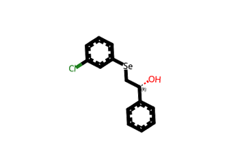 O[C@@H](C[Se]c1cccc(Cl)c1)c1ccccc1